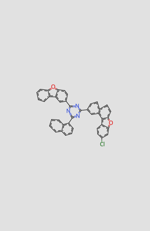 Clc1ccc2c(c1)oc1ccc3ccc(-c4nc(-c5ccc6oc7ccccc7c6c5)nc(-c5cccc6ccccc56)n4)cc3c12